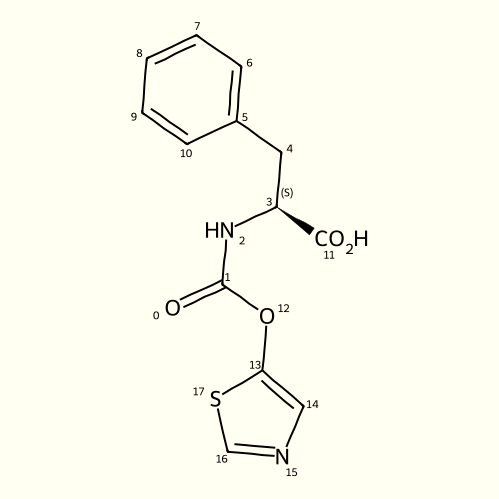 O=C(N[C@@H](Cc1ccccc1)C(=O)O)Oc1cncs1